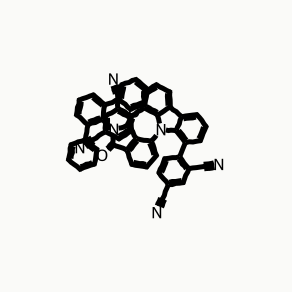 N#Cc1ccc(-c2cccc3c4cccc(-c5ccc(C#N)cc5C#N)c4n(-c4cccc5c4C(=O)N(c4c(-c6ccccc6)cccc4-c4ccccc4)C5=O)c23)c(C#N)c1